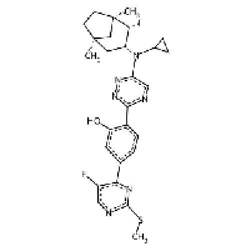 CSc1ncc(F)c(-c2ccc(-c3ncc(N(C4CC4)[C@@H]4C[C@@]5(C)CC[C@](C)(C5)[C@@H]4F)nn3)c(O)c2)n1